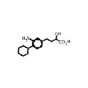 Cc1cc(CCC(O)C(=O)O)ccc1C1CCCCC1